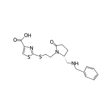 O=C(O)c1csc(SCCN2C(=O)CC[C@@H]2CNCc2ccccc2)n1